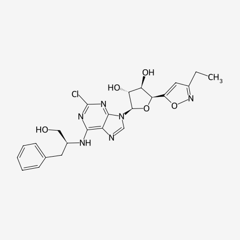 CCc1cc([C@H]2O[C@@H](n3cnc4c(N[C@H](CO)Cc5ccccc5)nc(Cl)nc43)[C@H](O)[C@H]2O)on1